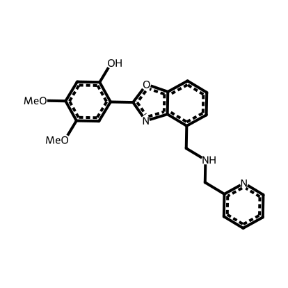 COc1cc(O)c(-c2nc3c(CNCc4ccccn4)cccc3o2)cc1OC